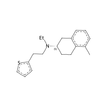 CCN(CCc1cccs1)[C@H]1CCc2c(C)cccc2C1